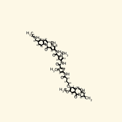 C=C1C[C@H]2C=Nc3cc(OCCCC(=O)Nc4cn(C)c(C(=O)Nc5cc(C(=O)Nc6cc(C(=O)n7ccc8cc(CNCC)ccc87)n(C)c6)n(C)c5)n4)c(OC)cc3C(=O)N2C1